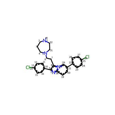 CN1CCCN(CCc2c(-c3ccc(Cl)cc3)nc3ccc(-c4ccc(Cl)cc4)cn23)CC1